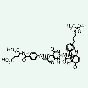 CCOP(C)(=O)OCCCCOC(=O)C1C(C(=O)Nc2nc(=O)c3nc(CNc4ccc(C(=O)N[C@H](CCC(=O)O)C(=O)O)cc4)cnc3[nH]2)[C@H]2C(=O)C=C[C@@H]1N2Cc1ccccc1